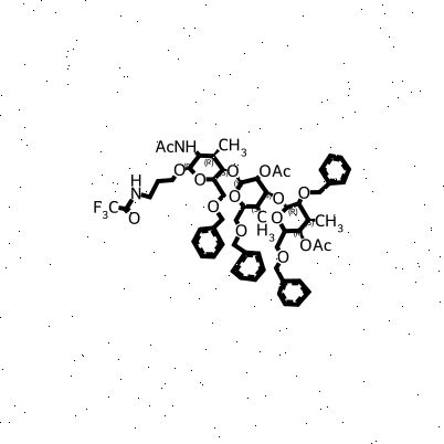 CC(=O)NC1[C@H](OCCCNC(=O)C(F)(F)F)OC(COCc2ccccc2)[C@@H](O[C@@H]2OC(COCc3ccccc3)[C@H](C)[C@H](O[C@@H]3OC(COCc4ccccc4)[C@H](OC(C)=O)[C@H](C)C3OCc3ccccc3)C2OC(C)=O)[C@@H]1C